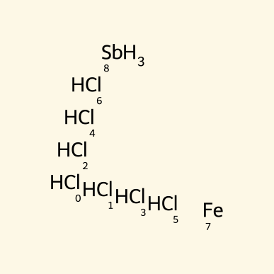 Cl.Cl.Cl.Cl.Cl.Cl.Cl.[Fe].[SbH3]